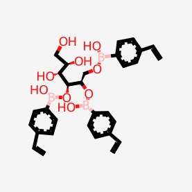 C=Cc1ccc(B(O)OC[C@@H](OB(O)c2ccc(C=C)cc2)[C@@H](OB(O)c2ccc(C=C)cc2)[C@H](O)[C@H](O)CO)cc1